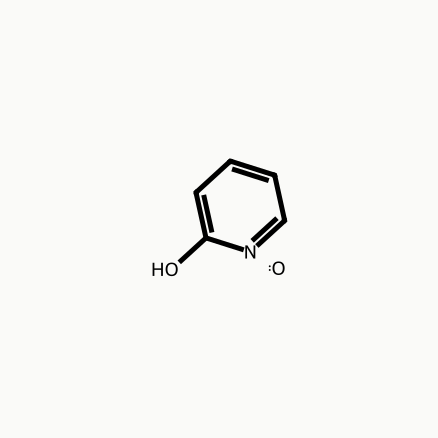 Oc1ccccn1.[O]